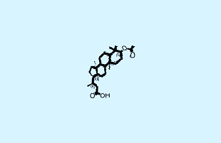 CC(=O)O[C@H]1CC[C@]2(C)C3CC[C@]4(C)[C@@H]([C@H](C)CC(=O)O)CC[C@@]4(C)C3CCC2C1(C)C